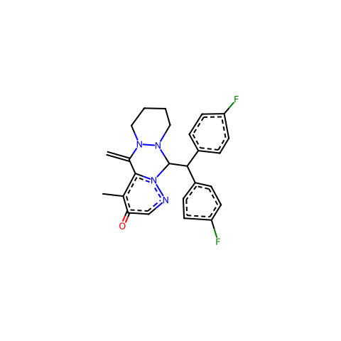 C=C1c2c(C)c(=O)cnn2C(C(c2ccc(F)cc2)c2ccc(F)cc2)N2CCCCN12